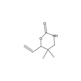 C=CC1OC(=O)NCC1(C)C